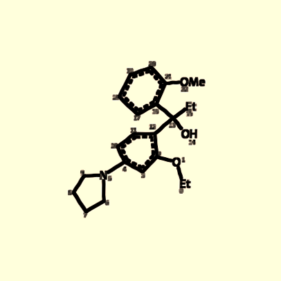 CCOc1cc(N2CCCC2)ccc1C(O)(CC)c1ccccc1OC